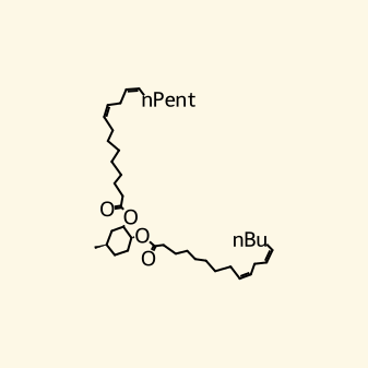 CCCC/C=C\C/C=C\CCCCCCCC(=O)O[C@@H]1CC[C@@H](C)C[C@@H]1OC(=O)CCCCCCC/C=C\C/C=C\CCCCC